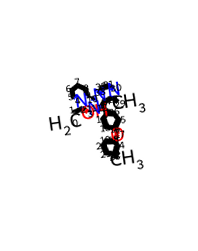 C=CC(O)N1CCCC[C@H]1c1nc(-c2ccc(Oc3cccc(C)c3)cc2)c2c(C)nccn12